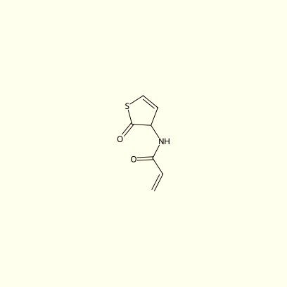 C=CC(=O)NC1C=CSC1=O